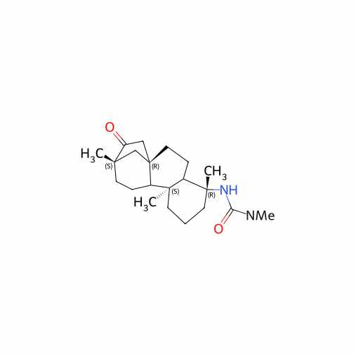 CNC(=O)N[C@]1(C)CCC[C@@]2(C)C3CC[C@@]4(C)C[C@]3(CCC21)CC4=O